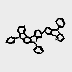 c1ccc(-n2c3ccc(-c4ccc5c6c7c8ccccc8n(-c8ccccc8)c7ccc6n(-c6ccccc6)c5c4)cc3c3ncccc32)cc1